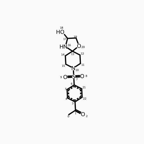 CC(=O)c1ccc(S(=O)(=O)N2CCC3(CC2)NC(O)CO3)cc1